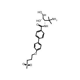 CC(C)(N)[C@H](NC(=O)c1ccc(-c2ccc(OCCCS(C)(=O)=O)cc2)cc1)[C@H](O)NO